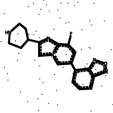 Fc1cc(-c2cccc3nonc23)cn2cc(C3CCNCC3)nc12